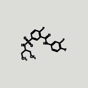 CCC(CC)NS(=O)(=O)c1ccc(F)c(C(=O)Nc2ccc(F)c(F)c2)c1